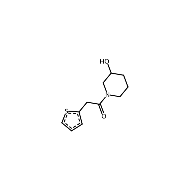 O=C(Cc1cccs1)N1CCCC(O)C1